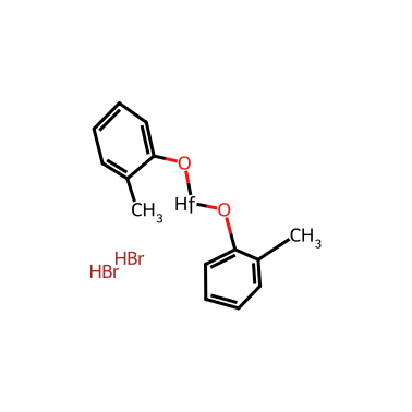 Br.Br.Cc1ccccc1[O][Hf][O]c1ccccc1C